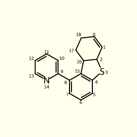 C1=CC2Sc3cccc(-c4ccccn4)c3C2CC1